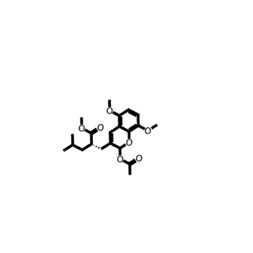 COC(=O)[C@H](CC1=Cc2c(OC)ccc(OC)c2OC1OC(C)=O)CC(C)C